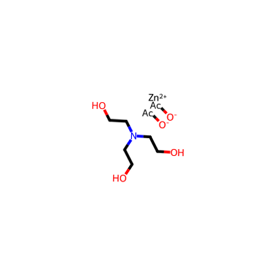 CC(=O)[O-].CC(=O)[O-].OCCN(CCO)CCO.[Zn+2]